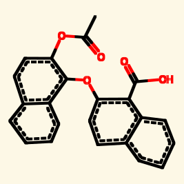 CC(=O)Oc1ccc2ccccc2c1Oc1ccc2ccccc2c1C(=O)O